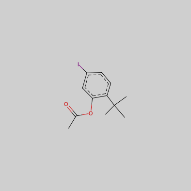 CC(=O)Oc1cc(I)ccc1C(C)(C)C